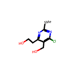 CSc1nc(Cl)c(CO)c(CCO)n1